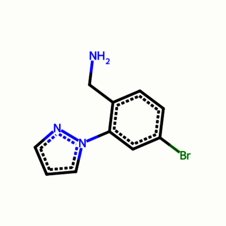 NCc1ccc(Br)cc1-n1cccn1